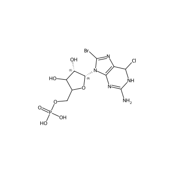 NC1=Nc2c(nc(Br)n2[C@@H]2OC(COP(=O)(O)O)C(O)[C@@H]2O)C(Cl)N1